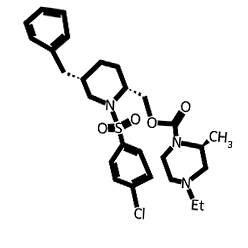 CCN1CCN(C(=O)OC[C@H]2CC[C@@H](Cc3ccccc3)CN2S(=O)(=O)c2ccc(Cl)cc2)[C@@H](C)C1